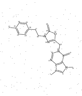 C=C1c2c(c(C)cn2C)N=CN1CC1=NN(CCc2ccc(C)cc2)C(=C)O1